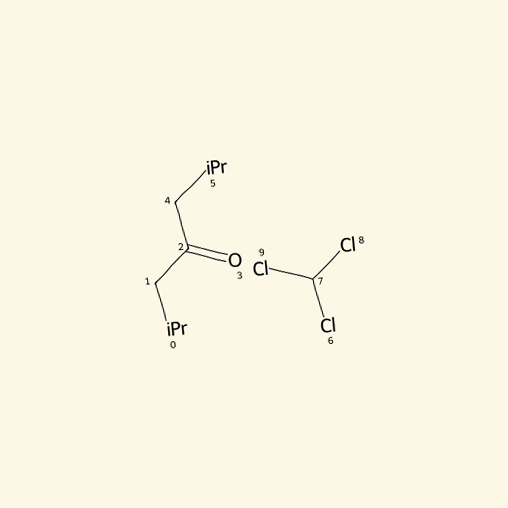 CC(C)CC(=O)CC(C)C.ClC(Cl)Cl